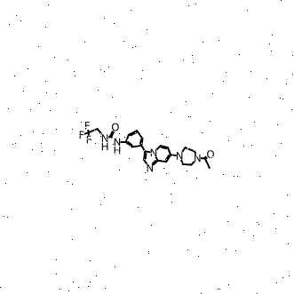 CC(=O)N1CCN(c2ccn3c(-c4cccc(NC(=O)NCC(F)(F)F)c4)cnc3c2)CC1